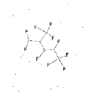 FC(F)C(C(F)C(F)C(F)(F)F)C(F)(F)F